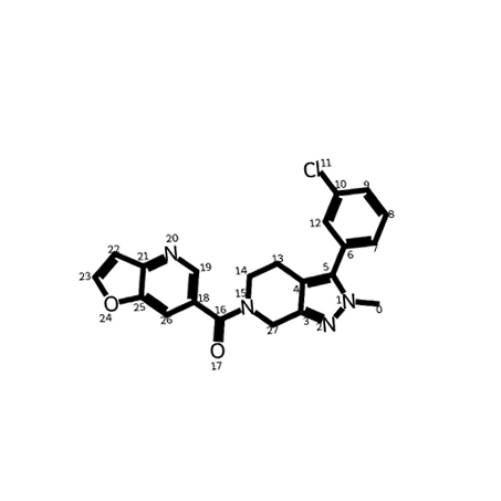 Cn1nc2c(c1-c1cccc(Cl)c1)CCN(C(=O)c1cnc3ccoc3c1)C2